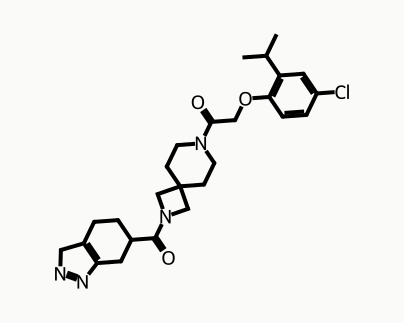 CC(C)c1cc(Cl)ccc1OCC(=O)N1CCC2(CC1)CN(C(=O)C1CCC3=C(C1)N=NC3)C2